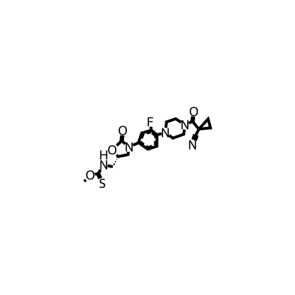 COC(=S)NC[C@H]1CN(c2ccc(N3CCN(C(=O)C4(C#N)CC4)CC3)c(F)c2)C(=O)O1